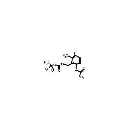 Cc1c(Cl)ccc(OC(N)=O)c1CNC(=O)OC(C)(C)C